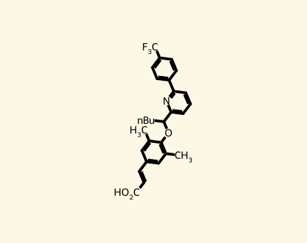 CCCCC(Oc1c(C)cc(C=CC(=O)O)cc1C)c1cccc(-c2ccc(C(F)(F)F)cc2)n1